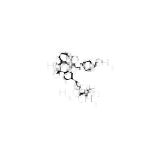 CC(C)C(C)(C)[SiH2]OCc1ccc2c(c1)N(C(=O)CN1CCN(C)CC1)c1ncccc1NC2=O